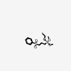 CO[Si](CCCS(=O)(=O)c1ccccc1)(OC)OCI